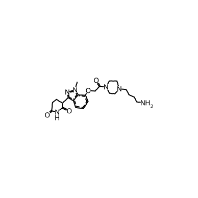 Cn1nc(C2CCC(=O)NC2=O)c2cccc(OCC(=O)N3CCN(CCCCN)CC3)c21